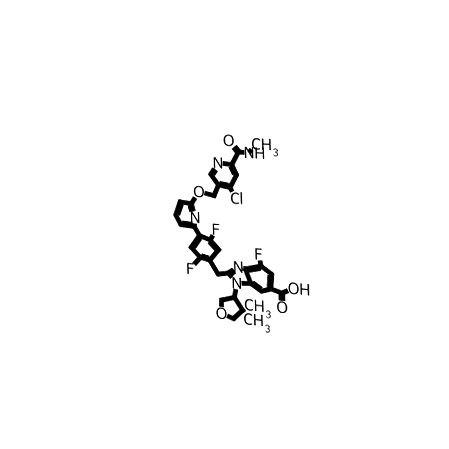 CNC(=O)c1cc(Cl)c(COc2cccc(-c3cc(F)c(Cc4nc5c(F)cc(C(=O)O)cc5n4C4COCC4(C)C)cc3F)n2)cn1